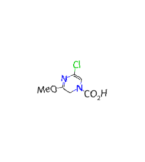 COC1=NC(Cl)=CN(C(=O)O)C1